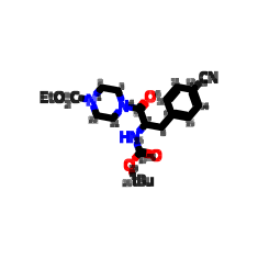 CCOC(=O)N1CCN(C(=O)C(Cc2ccc(C#N)cc2)NC(=O)OC(C)(C)C)CC1